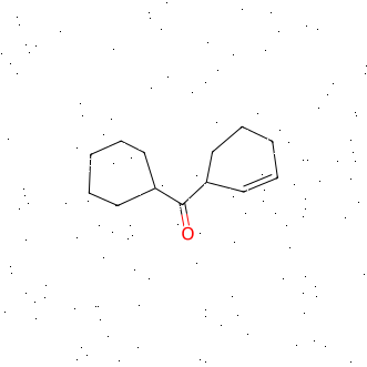 O=C(C1C=CCCC1)C1CCCCC1